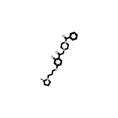 C[C@@H]1CCCN1CCCOc1ccc(C(=O)CN2CCN(C(=O)c3ccccc3)CC2)c(F)c1